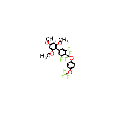 COc1cc(OC)c(-c2cc(F)c(C(F)(F)Oc3ccc(OC(F)(F)F)cc3)c(F)c2)c(OC)c1